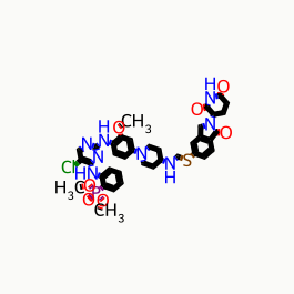 COc1cc(N2CCC(NCSc3ccc4c(c3)CN(C3CCC(=O)NC3=O)C4=O)CC2)ccc1Nc1ncc(Cl)c(Nc2ccccc2P(=O)(OC)OC)n1